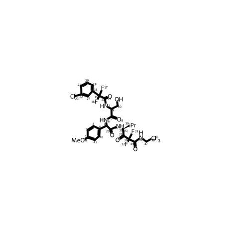 COc1ccc(C(NC(=O)C(CO)NC(=O)C(F)(F)c2cccc(Cl)c2)C(=O)N[C@H](C(=O)C(F)(F)C(=O)NCC(F)(F)F)C(C)C)cc1